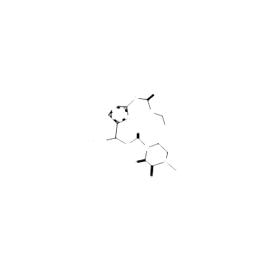 CCN1CCN(C(=O)NC(C(=O)O)c2csc(NC(=O)OCC(Cl)(Cl)Cl)n2)C(=O)C1=O